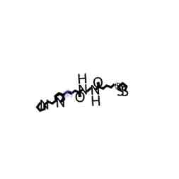 O=C(C/C=C/c1ccc(CCN2CCCC2)nc1)NCCNC(=O)CCCC[C@@H]1CCSS1